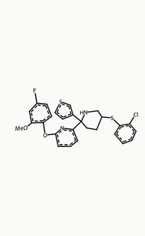 COc1cc(F)ccc1Oc1cccc(C2(c3ccsc3)CCC(Sc3ccccc3Cl)CN2)n1